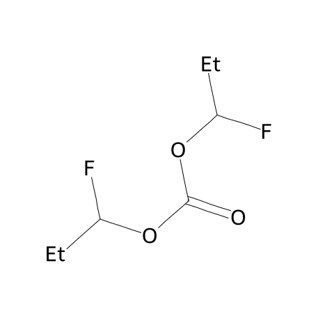 CCC(F)OC(=O)OC(F)CC